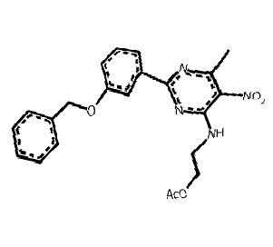 CC(=O)OCCNc1nc(-c2cccc(OCc3ccccc3)c2)nc(C)c1[N+](=O)[O-]